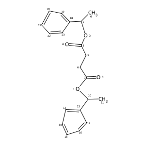 CC(OC(=O)CCC(=O)OC(C)c1ccccc1)c1ccccc1